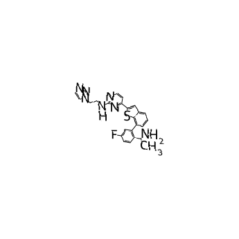 CC(N)c1ccc(F)cc1-c1cccc2cc(-c3ccnc(NCCn4ccnn4)n3)sc12